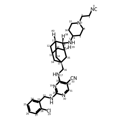 [C-]#[N+]CCN1CCC(N[C@@H]2[C@@H]3CC4C[C@H]2C[C@@](CNc2nc(NCc5ccccc5Cl)ncc2C#N)(C4)C3)CC1